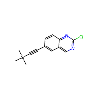 C[Si](C)(C)C#Cc1ccc2nc(Cl)ncc2c1